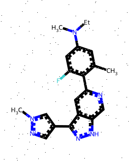 CCN(C)c1cc(C)c(-c2cc3c(-c4cnn(C)c4)n[nH]c3cn2)c(F)c1